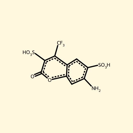 Nc1cc2oc(=O)c(S(=O)(=O)O)c(C(F)(F)F)c2cc1S(=O)(=O)O